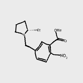 CC[C@H]1CCCN1Cc1ccc([N+](=O)[O-])c(C(=O)OC)c1